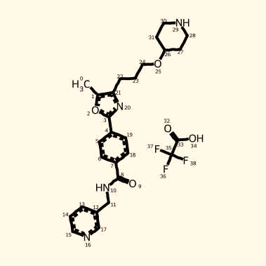 Cc1oc(-c2ccc(C(=O)NCc3cccnc3)cc2)nc1CCCOC1CCNCC1.O=C(O)C(F)(F)F